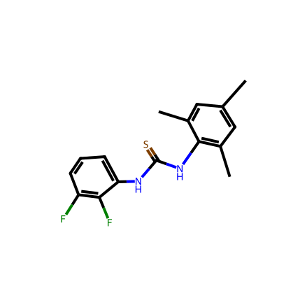 Cc1cc(C)c(NC(=S)Nc2cccc(F)c2F)c(C)c1